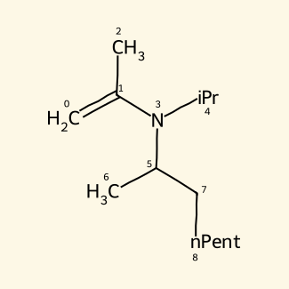 C=C(C)N(C(C)C)C(C)CCCCCC